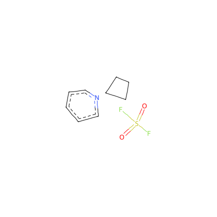 C1CCC1.O=S(=O)(F)F.c1ccncc1